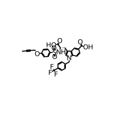 CC#CCOc1ccc(S(=O)(=O)N[C@@H](Cc2cn(Cc3ccc(C(F)(F)F)cc3)c3ccc(C(=O)O)cc23)C(=O)O)cc1